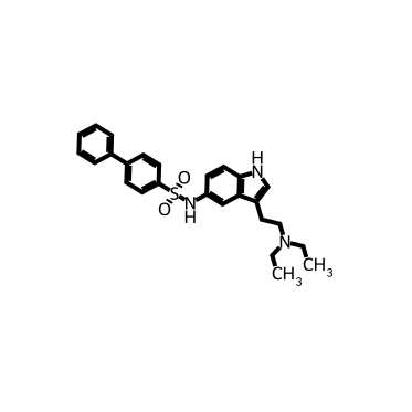 CCN(CC)CCc1c[nH]c2ccc(NS(=O)(=O)c3ccc(-c4ccccc4)cc3)cc12